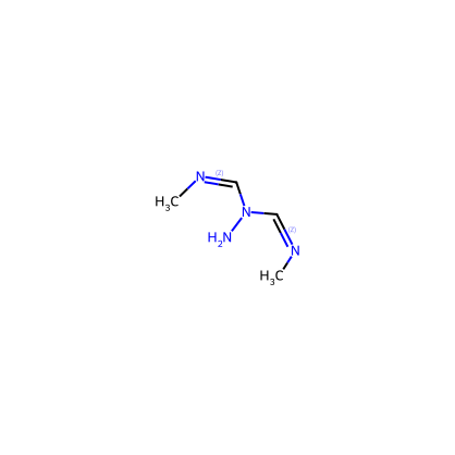 C/N=C\N(N)/C=N\C